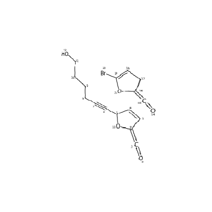 O=C=C1C=CC(C#CCCCCO)O1.O=C=C1CC=C(Br)O1